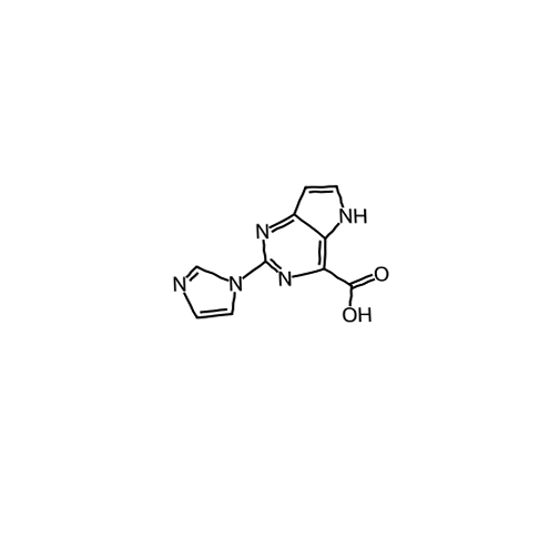 O=C(O)c1nc(-n2ccnc2)nc2cc[nH]c12